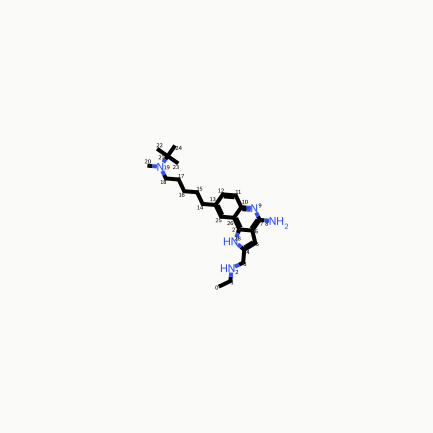 CCNCc1cc2c(N)nc3ccc(CCCCCN(C)C(C)(C)C)cc3c2[nH]1